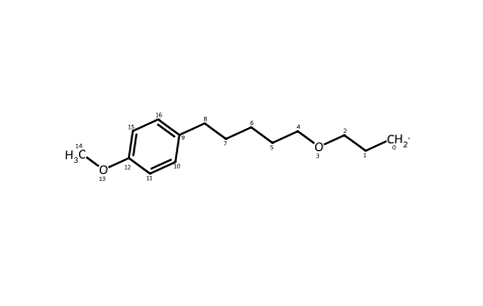 [CH2]CCOCCCCCc1ccc(OC)cc1